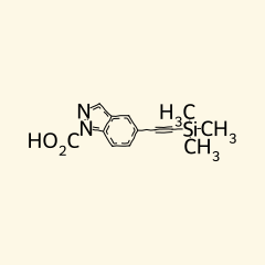 C[Si](C)(C)C#Cc1ccc2c(cnn2C(=O)O)c1